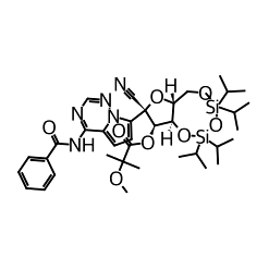 COC(C)(C)C(=O)O[C@@H]1[C@@H]2O[Si](C(C)C)(C(C)C)O[Si](C(C)C)(C(C)C)OC[C@H]2O[C@@]1(C#N)c1ccc2c(NC(=O)c3ccccc3)ncnn12